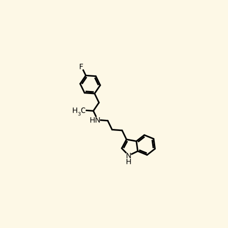 CC(Cc1ccc(F)cc1)NCCCc1c[nH]c2ccccc12